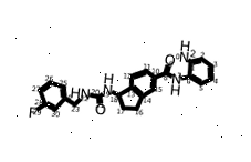 Nc1ccccc1NC(=O)c1ccc2c(c1)CCC2NC(=O)NCc1cccc(F)c1